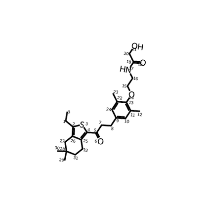 CCc1sc(C(=O)CCc2cc(C)c(OCCNC(=O)CO)c(C)c2)c2c1CC(C)(C)CC2